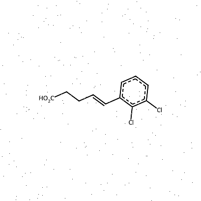 O=C(O)CCC=Cc1cccc(Cl)c1Cl